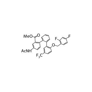 COC(=O)c1cc(NC(C)=O)ccc1-c1ccccc1-c1cc(C(F)(F)F)ccc1OCc1ccc(F)cc1F